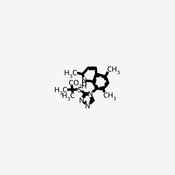 Cc1cc(C)c(-n2cnnc2SC(C)(C)C(=O)O)c2c1C=CC(C)N2